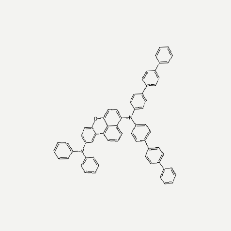 c1ccc(-c2ccc(-c3ccc(N(c4ccc(-c5ccc(-c6ccccc6)cc5)cc4)c4ccc5c6c(cccc46)-c4cc(N(c6ccccc6)c6ccccc6)ccc4O5)cc3)cc2)cc1